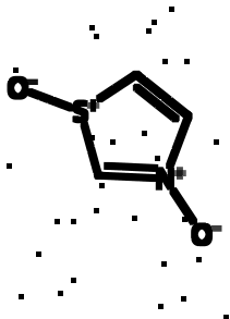 [O-][n+]1cc[s+]([O-])c1